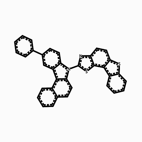 c1ccc(-c2ccc3c(c2)c2c4ccccc4ccc2n3-c2nc3ccc4sc5ccccc5c4c3s2)cc1